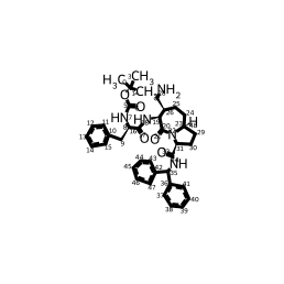 CC(C)(C)OC(=O)N[C@H](Cc1ccccc1)C(=O)N[C@@H]1C(=O)N2[C@@H](CC[C@@H]1CN)CC[C@H]2C(=O)NC(c1ccccc1)c1ccccc1